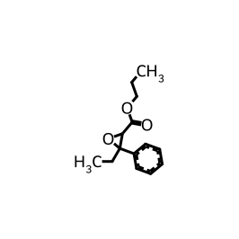 CCCOC(=O)C1OC1(CC)c1ccccc1